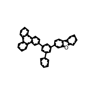 c1ccc(-c2cc(-c3ccc4c(c3)oc3ccccc34)cc(-c3ccc4c5ccccc5c5ccccc5c4c3)c2)cc1